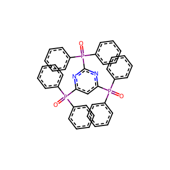 O=P(c1ccccc1)(c1ccccc1)c1cc(P(=O)(c2ccccc2)c2ccccc2)nc(P(=O)(c2ccccc2)c2ccccc2)n1